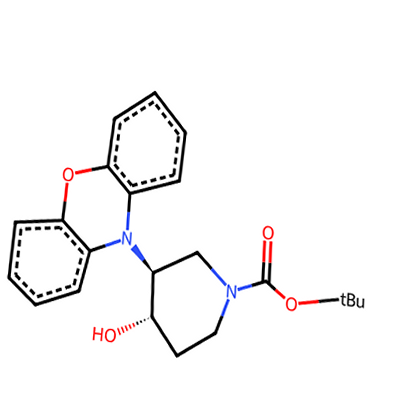 CC(C)(C)OC(=O)N1CC[C@H](O)[C@@H](N2c3ccccc3Oc3ccccc32)C1